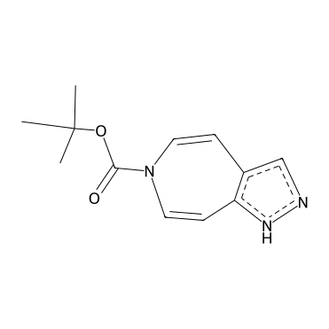 CC(C)(C)OC(=O)N1C=Cc2cn[nH]c2C=C1